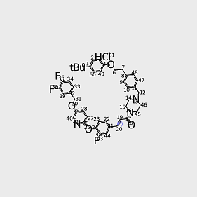 CC(C)(C)c1ccc(OCCc2ccc(CN3CCN(C(=O)/C=C/c4ccc(Oc5ccc(OCc6ccc(F)c(F)c6)cn5)c(F)c4)CC3)cc2)cc1.Cl